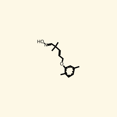 Cc1ccc(C)c(OCC=CC(C)(C)C=NO)c1